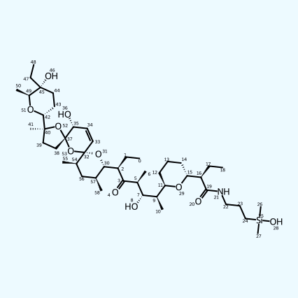 CC[C@@H](C(=O)[C@@H](C)[C@@H](O)[C@H](C)[C@H]1CCC[C@H]([C@@H](CC)C(=O)NCCC[Si](C)(C)O)O1)[C@H]1O[C@]2(C=C[C@@H](O)[C@]3(CC[C@@](C)([C@H]4CC[C@](O)(CC)[C@H](C)O4)O3)O2)[C@H](C)C[C@@H]1C